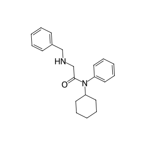 O=C(CNCc1ccccc1)N(c1ccccc1)C1CCCCC1